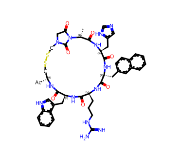 CC(=O)[C@@H]1CSSCN2CC(=O)N(C2=O)[C@H](C)C(=O)N[C@@H](Cc2cnc[nH]2)C(=O)N[C@H](Cc2ccc3ccccc3c2)C(=O)N[C@@H](CCCNC(=N)N)C(=O)N[C@@H](Cc2c[nH]c3ccccc23)C(=O)N1